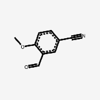 COc1ccc(C#N)cc1C=O